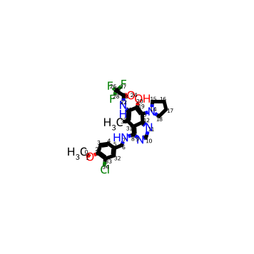 COc1ccc(CNc2ncnc3c(N4CCCC4)c(O)c(NC(=O)C(F)(F)F)c(C)c23)cc1Cl